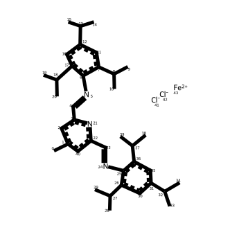 Cc1cc(C=Nc2c(C(C)C)cc(C(C)C)cc2C(C)C)nc(C=Nc2c(C(C)C)cc(C(C)C)cc2C(C)C)c1.[Cl-].[Cl-].[Fe+2]